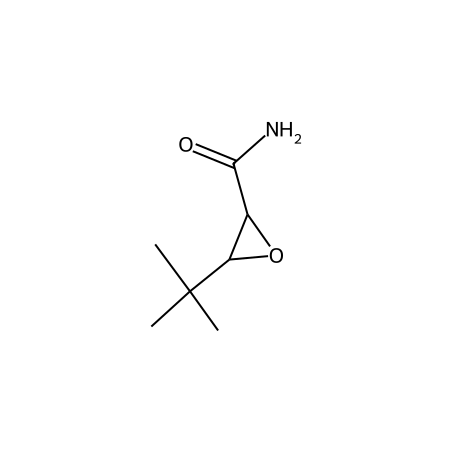 CC(C)(C)C1OC1C(N)=O